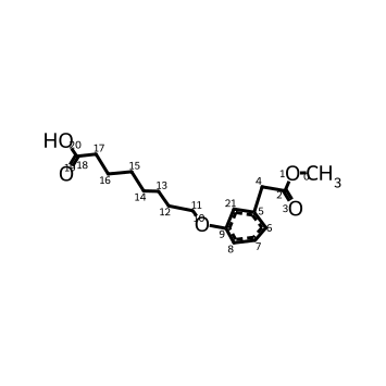 COC(=O)Cc1cccc(OCCCCCCCC(=O)O)c1